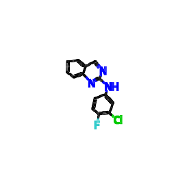 Fc1ccc(Nc2ncc3ccccc3n2)cc1Cl